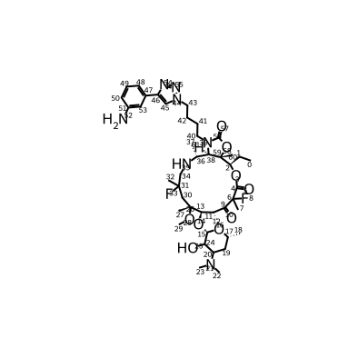 CC[C@H]1OC(=O)C(C)(F)C(=O)[C@H](C)[C@@H](O[C@@H]2O[C@H](C)CC(N(C)C)C2O)[C@](C)(OC)CC(C)(F)CN[C@H](C)[C@H]2N(CCCCn3cc(-c4cccc(N)c4)nn3)C(=O)O[C@]12C